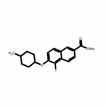 COC(=O)c1ccc2c(I)c(OC3CCC(C)CC3)ccc2c1